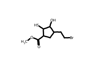 COC(=O)C1CC(CCBr)C(O)C1S